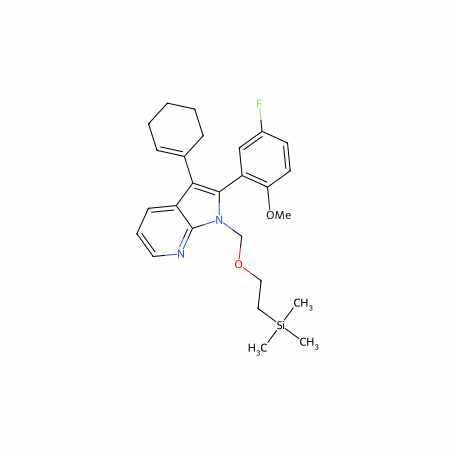 COc1ccc(F)cc1-c1c(C2=CCCCC2)c2cccnc2n1COCC[Si](C)(C)C